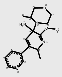 CCOC1=NC(C)C(c2cccnc2)=CC1(N)N1CCOCC1C